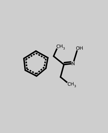 CCC(CC)=NO.c1ccccc1